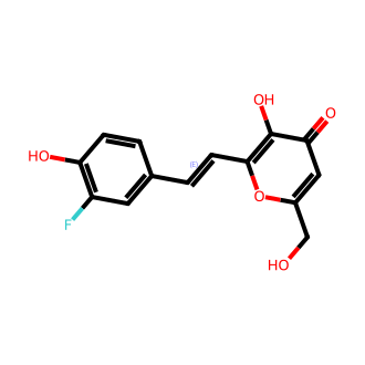 O=c1cc(CO)oc(/C=C/c2ccc(O)c(F)c2)c1O